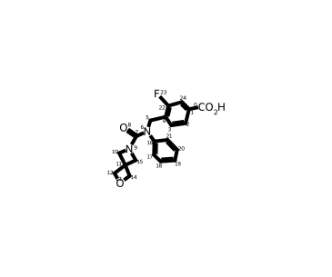 O=C(O)c1ccc(CN(C(=O)N2CC3(COC3)C2)c2ccccc2)c(F)c1